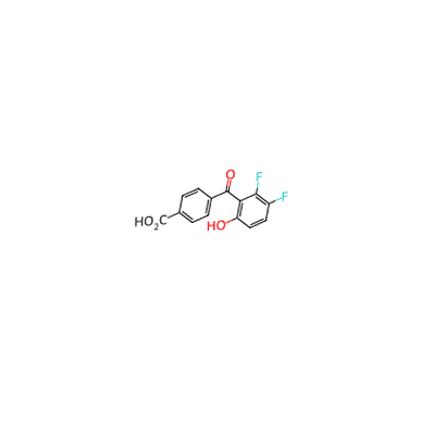 O=C(O)c1ccc(C(=O)c2c(O)ccc(F)c2F)cc1